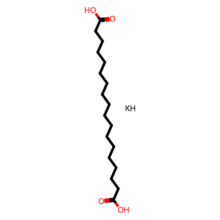 O=C(O)CCCCCCCCCCCCCCCCC(=O)O.[KH]